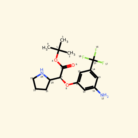 CC(C)(C)OC(=O)[C@@H](Oc1cc(N)cc(C(F)(F)F)c1)C1CCCN1